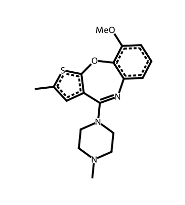 COc1cccc2c1Oc1sc(C)cc1C(N1CCN(C)CC1)=N2